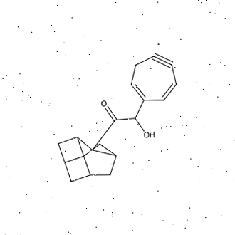 O=C(C(O)C1=CCC#CC=C1)C1C2CC3CC4CC1C34C2